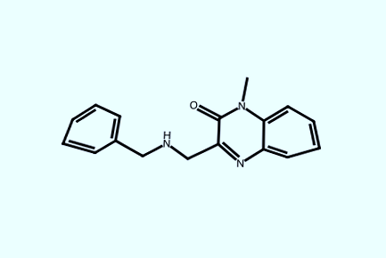 Cn1c(=O)c(CNCc2ccccc2)nc2ccccc21